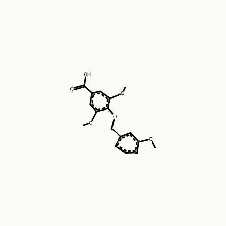 COc1cccc(COc2c(OC)cc(C(=O)O)cc2OC)c1